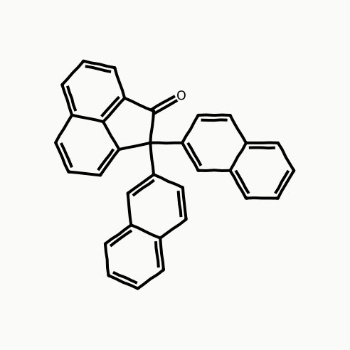 O=C1c2cccc3cccc(c23)C1(c1ccc2ccccc2c1)c1ccc2ccccc2c1